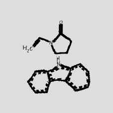 C=CN1CCCC1=O.c1ccc2c(c1)[nH]c1ccccc12